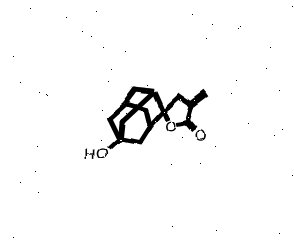 C=C1CC2(OC1=O)C1CC3CC2CC(O)(C3)C1